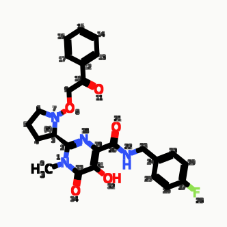 Cn1c([C@H]2CCCN2OCC(=O)c2ccccc2)nc(C(=O)NCc2ccc(F)cc2)c(O)c1=O